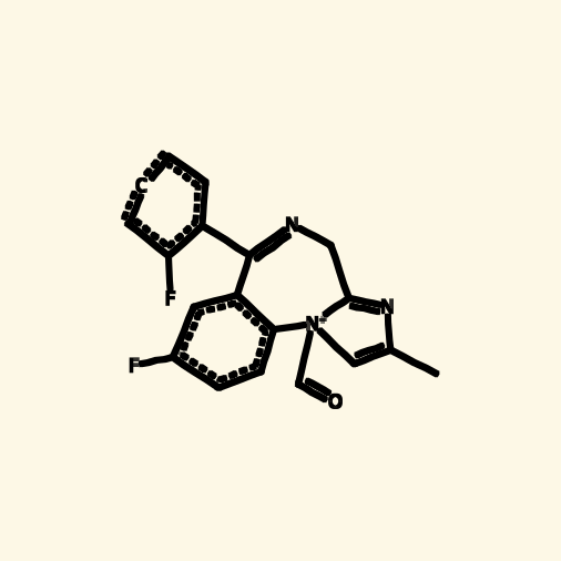 CC1=C[N+]2(C=O)C(=N1)CN=C(c1ccccc1F)c1cc(F)ccc12